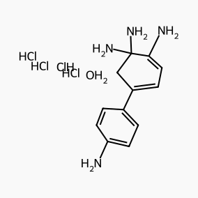 Cl.Cl.Cl.Cl.NC1=CC=C(c2ccc(N)cc2)CC1(N)N.O